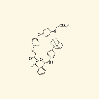 O=C(O)CSc1ccc(Oc2ccc(SCC(=O)OC(=O)c3ccccc3C(=O)Nc3ccc(C45CC6CC(CC(C6)C4)C5)cc3)cc2)cc1